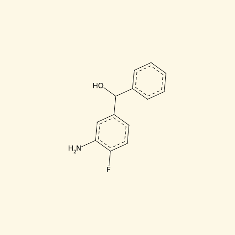 Nc1cc(C(O)c2ccccc2)ccc1F